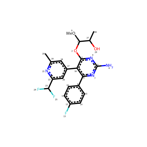 COC(Oc1nc(N)nc(-c2ccc(F)cc2)c1-c1cc(C)nc(C(F)F)c1)C(C)O